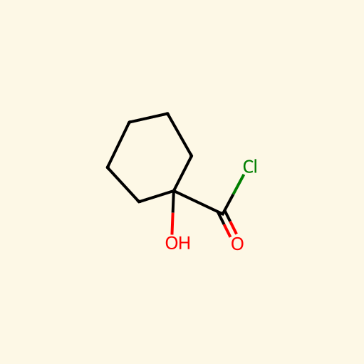 O=C(Cl)C1(O)CCCCC1